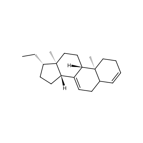 CC[C@H]1CC[C@H]2C3=CCC4C=CCC[C@]4(C)[C@H]3CC[C@]12C